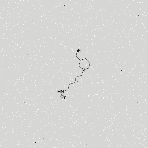 CC(C)CC1CCCN(CCCCCNC(C)C)C1